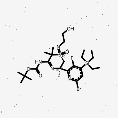 CC[Si](CC)(CC)c1cc(Br)nc([C@]2(C)C[S@](=O)(=NCCO)C(C)(C)C(NC(=O)OC(C)(C)C)=N2)c1F